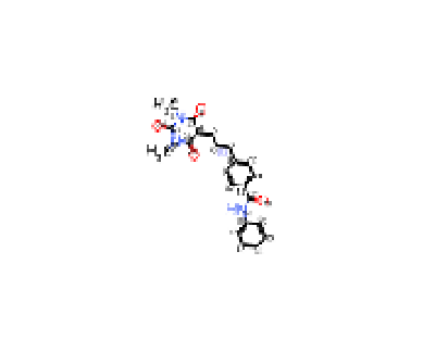 CN1C(=O)C(=C/C=C/c2ccc(C(=O)Nc3ccccc3)cc2)C(=O)N(C)C1=O